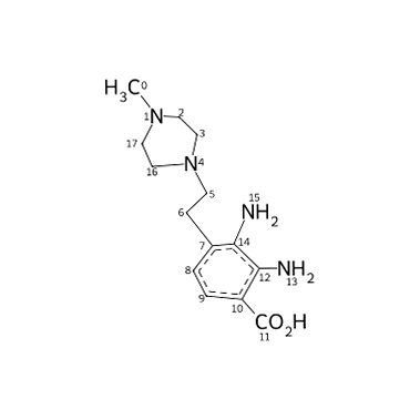 CN1CCN(CCc2ccc(C(=O)O)c(N)c2N)CC1